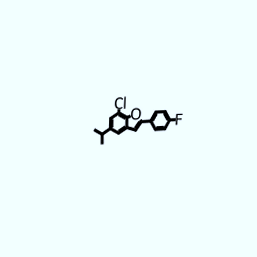 CC(C)c1cc(Cl)c2oc(-c3ccc(F)cc3)cc2c1